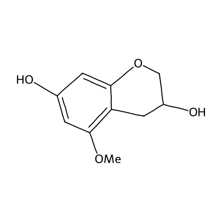 COc1cc(O)cc2c1CC(O)CO2